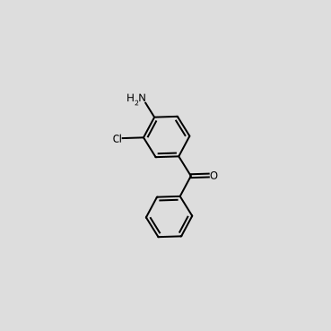 Nc1ccc(C(=O)c2ccccc2)cc1Cl